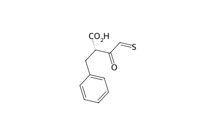 O=C(O)[C@@H](Cc1ccccc1)C(=O)C=S